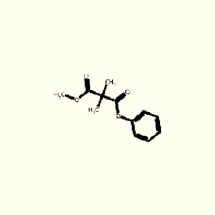 COC(=O)C(C)(C)C(=O)Oc1ccccc1